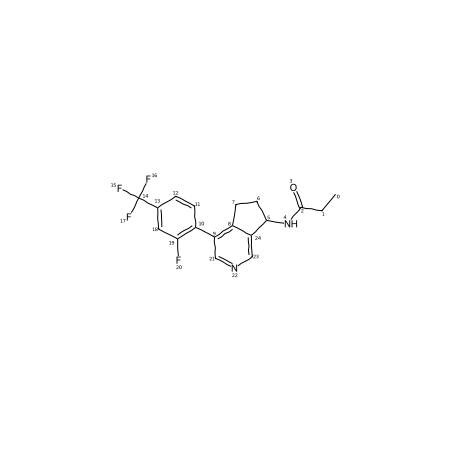 CCC(=O)NC1CCc2c(-c3ccc(C(F)(F)F)cc3F)cncc21